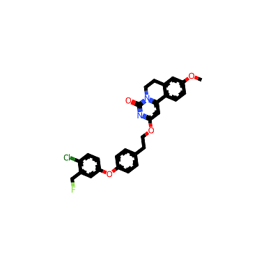 COc1ccc2c(c1)CCn1c-2cc(OCCc2ccc(Oc3ccc(Cl)c(CF)c3)cc2)nc1=O